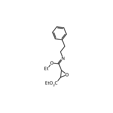 CCOC(=O)C1OC1C(=NCCc1ccccc1)OCC